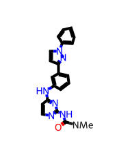 CNC(=O)Nc1nccc(Nc2cccc(-c3ccn(-c4ccccc4)n3)c2)n1